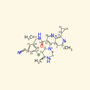 Cc1cc2c(N3CCN[C@@H](C)CC3)c(C(=O)N[C@@H](C)c3cc(F)cc(C#N)c3)cnc2c(C2CC2)n1